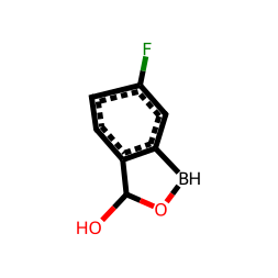 OC1OBc2cc(F)ccc21